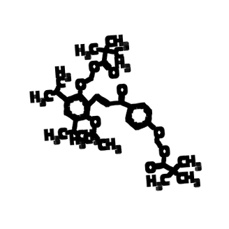 CC(C)Oc1c(C(C)C)cc(C(C)C)c(OCOC(=O)C(C)(C)C)c1/C=C/C(=O)c1ccc(OCOC(=O)C(C)(C)C)cc1